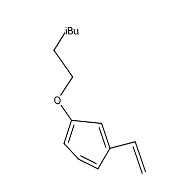 C=Cc1cccc(OCCC(C)CC)c1